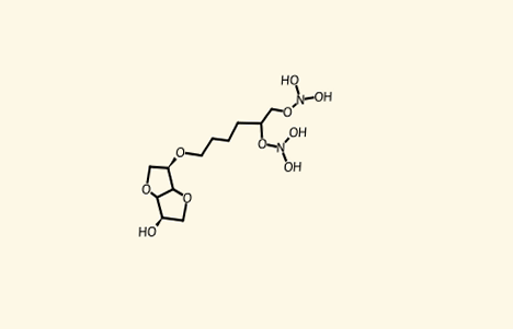 O[C@@H]1COC2C1OC[C@H]2OCCCCC(CON(O)O)ON(O)O